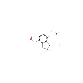 O=C(O)Cc1ccc(S(=O)(=O)C(F)(F)F)c2c1CC(F)(F)[C@H]2O